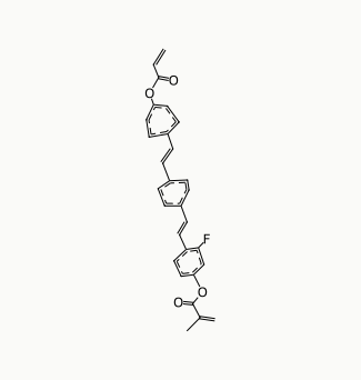 C=CC(=O)Oc1ccc(/C=C/c2ccc(/C=C/c3ccc(OC(=O)C(=C)C)cc3F)cc2)cc1